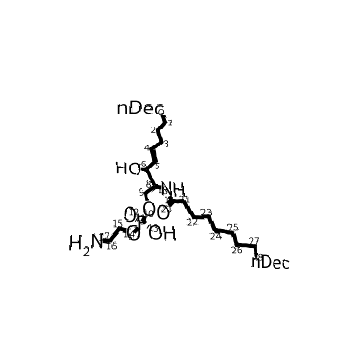 CCCCCCCCCCCCCC=CC(O)C(COP(=O)(O)OCCN)NC(=O)CCCCCCCCCCCCCCCCC